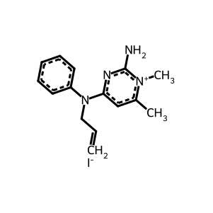 C=CCN(c1ccccc1)c1cc(C)[n+](C)c(N)n1.[I-]